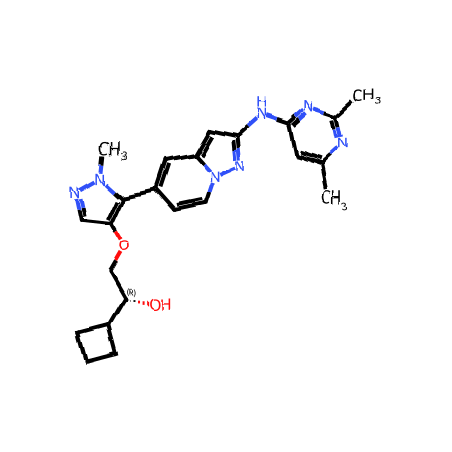 Cc1cc(Nc2cc3cc(-c4c(OC[C@H](O)C5CCC5)cnn4C)ccn3n2)nc(C)n1